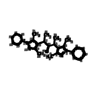 Cc1nn(-c2ccccc2)c(C)c1C(C)C(=O)C(C)c1c(C)nn(-c2ccccc2)c1C